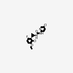 CCOc1ccc(F)c([C@@H]2C[C@H]2NC(=O)Nc2ccc(Cl)cn2)c1Cl